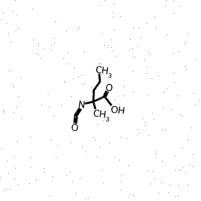 CCCC(C)(N=C=O)C(=O)O